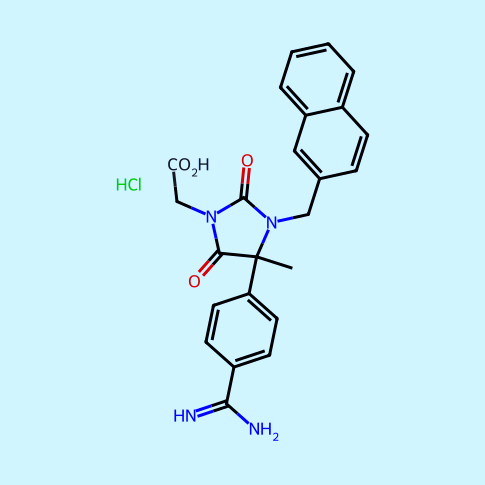 CC1(c2ccc(C(=N)N)cc2)C(=O)N(CC(=O)O)C(=O)N1Cc1ccc2ccccc2c1.Cl